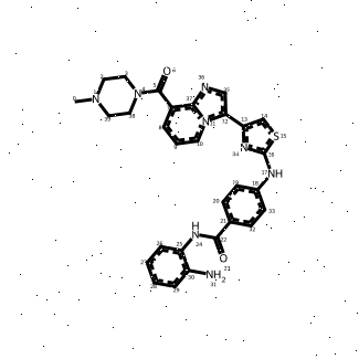 CN1CCN(C(=O)c2cccn3c(-c4csc(Nc5ccc(C(=O)Nc6ccccc6N)cc5)n4)cnc23)CC1